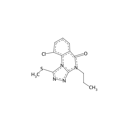 CCCn1c(=O)c2cccc(Cl)c2n2c(SC)nnc12